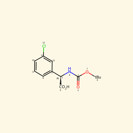 CC(C)(C)OC(=O)N[C@@H](C(=O)O)c1cccc(Cl)c1